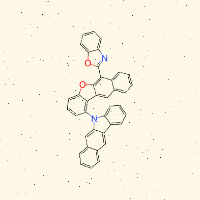 c1ccc2cc3c(cc2c1)c1ccccc1n3-c1cccc2oc3c(-c4nc5ccccc5o4)c4ccccc4cc3c12